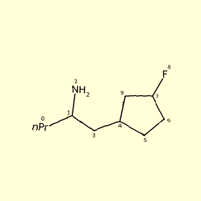 CCCC(N)CC1CCC(F)C1